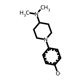 CN(C)C1CCN(c2ccc([O])cc2)CC1